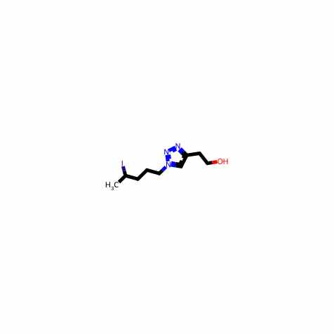 CC(I)CCCn1cc(CCO)nn1